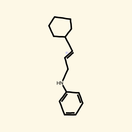 C(=C\C1CCCCC1)/CNc1ccccc1